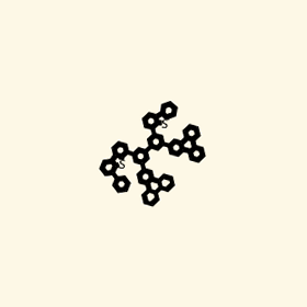 C1=CC2=c3ccc(-c4cc(-c5cc(-c6ccc7c8ccccc8c8ccccc8c7c6)cc(-c6cccc7c6sc6ccccc67)c5)cc(-c5cccc6c5sc5c(-c7ccccc7)cccc56)c4)cc3=C3C=CC=CC3C2C=C1